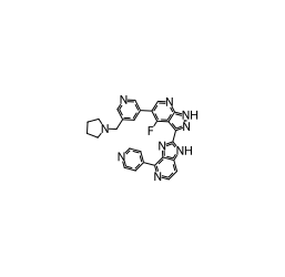 Fc1c(-c2cncc(CN3CCCC3)c2)cnc2[nH]nc(-c3nc4c(-c5ccncc5)nccc4[nH]3)c12